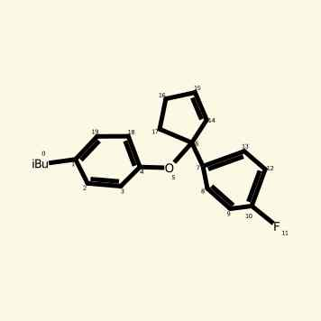 CCC(C)c1ccc(OC2(c3ccc(F)cc3)C=CCC2)cc1